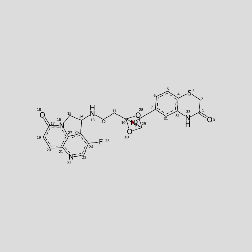 O=C1CSc2ccc(N3CC4(CCNC5Cn6c(=O)ccc7ncc(F)c5c76)OC3O4)cc2N1